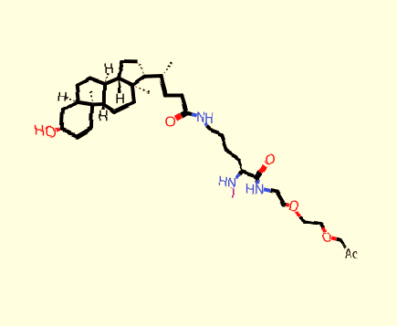 CC(=O)COCCOCCNC(=O)[C@H](CCCCNC(=O)CC[C@@H](C)[C@H]1CC[C@H]2[C@@H]3CC[C@@H]4C[C@H](O)CC[C@]4(C)[C@H]3CC[C@]12C)NI